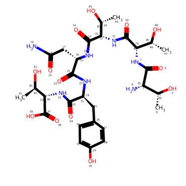 C[C@@H](O)[C@H](N)C(=O)N[C@H](C(=O)N[C@H](C(=O)N[C@@H](CC(N)=O)C(=O)N[C@@H](Cc1ccc(O)cc1)C(=O)N[C@H](C(=O)O)[C@@H](C)O)[C@@H](C)O)[C@@H](C)O